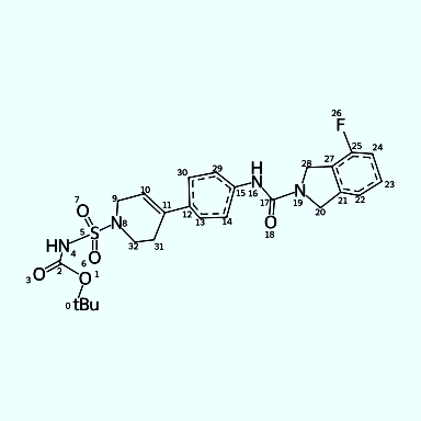 CC(C)(C)OC(=O)NS(=O)(=O)N1CC=C(c2ccc(NC(=O)N3Cc4cccc(F)c4C3)cc2)CC1